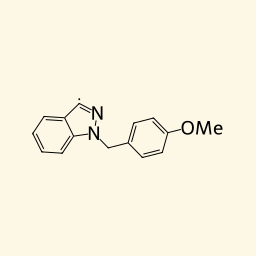 COc1ccc(Cn2n[c]c3ccccc32)cc1